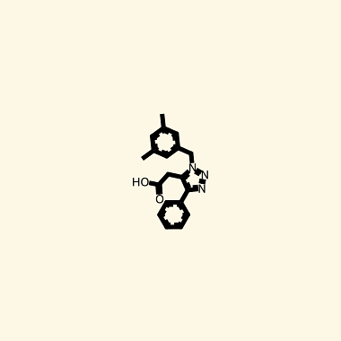 Cc1cc(C)cc(Cn2nnc(-c3ccccc3)c2CC(=O)O)c1